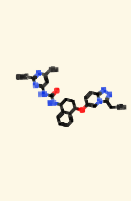 CC(C)(C)Cc1nnc2ccc(O[C@@H]3CC[C@H](NC(=O)Nc4cc(C(C)(C)C)nc(C=O)n4)c4ccccc43)cn12